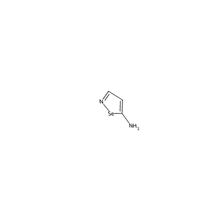 Nc1ccn[se]1